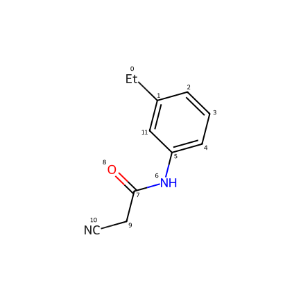 CCc1cccc(NC(=O)CC#N)c1